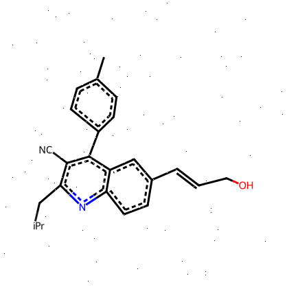 Cc1ccc(-c2c(C#N)c(CC(C)C)nc3ccc(/C=C/CO)cc23)cc1